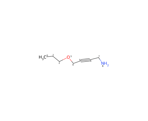 CCCOCC#CCN